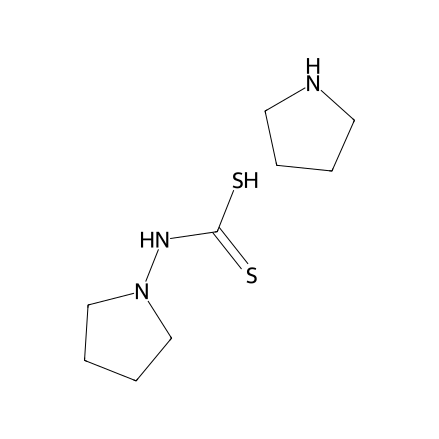 C1CCNC1.S=C(S)NN1CCCC1